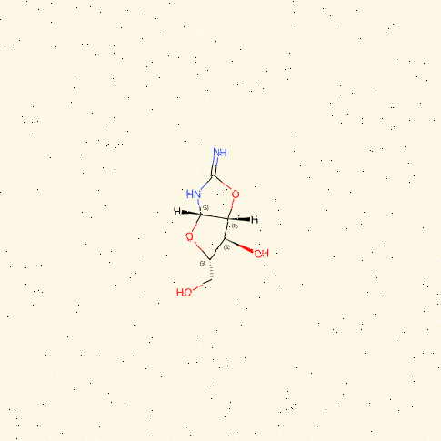 N=C1N[C@H]2O[C@@H](CO)[C@H](O)[C@H]2O1